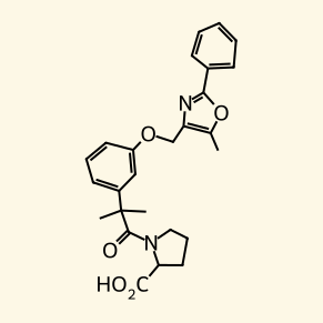 Cc1oc(-c2ccccc2)nc1COc1cccc(C(C)(C)C(=O)N2CCCC2C(=O)O)c1